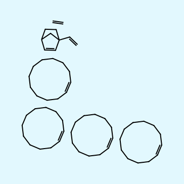 C1=CCCCCCCCCCC1.C1=CCCCCCCCCCC1.C1=CCCCCCCCCCC1.C1=CCCCCCCCCCC1.C=C.C=CC12C=CC(CC1)C2